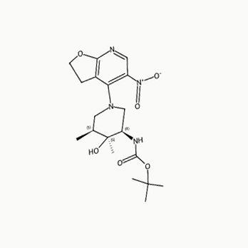 C[C@H]1CN(c2c([N+](=O)[O-])cnc3c2CCO3)C[C@@H](NC(=O)OC(C)(C)C)[C@@]1(C)O